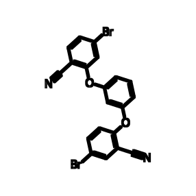 N#Cc1cc(Br)ccc1Oc1cccc(Oc2cc(Br)ccc2C#N)c1